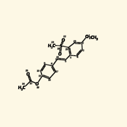 COc1ccc(C=Cc2ccc(OC(C)=O)cc2)c(S(C)(=O)=O)c1